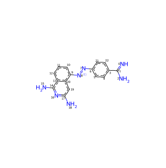 N=C(N)c1ccc(/N=N/c2cccc3c(N)nc(N)cc23)cc1